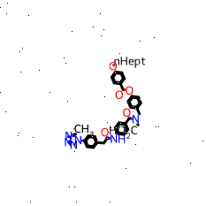 CCCCCCCOc1ccc(C(=O)Oc2ccc(CN(CC(=O)O)C(=O)c3ccc(NC(=O)Cc4ccc(-n5nnnc5C)cc4)cc3)cc2)cc1